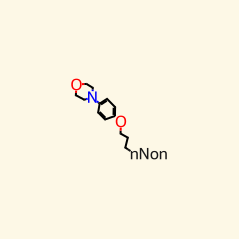 CCCCCCCCCCCCOc1ccc(N2CCOCC2)cc1